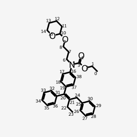 CCOC(=O)N(CCCOC1CCCCO1)c1ccc(C(=C(CC)Cc2ccccc2)c2ccccc2)cc1